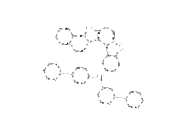 c1ccc(-c2ccc(N(c3cccc(-c4ccccc4)c3)c3ccc4sc5ccc6oc7c8ccccc8ccc7c6c5c4c3)cc2)cc1